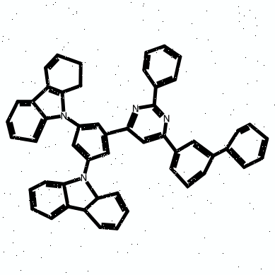 C1=CC2c3ccccc3N(c3cc(-c4cc(-c5cccc(-c6ccccc6)c5)nc(-c5ccccc5)n4)cc(-n4c5c(c6ccccc64)C=CCC5)c3)C2C=C1